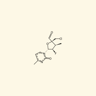 Cc1ccn([C@@H]2O[C@@](C=O)(CCl)[C@@H](C)[C@H]2F)c(=O)n1